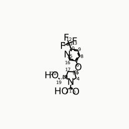 O=C(O)N1C[C@@H](Oc2ccc(C(F)(F)F)nc2)C[C@H]1CO